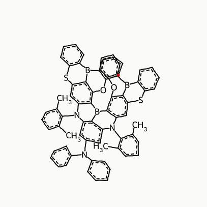 Cc1cccc(C)c1N1c2cc(N(c3ccccc3)c3ccccc3)cc3c2B(c2c1cc1c4c2Oc2ccccc2B4c2ccccc2S1)c1c(cc2c4c1Oc1ccccc1B4c1ccccc1S2)N3c1c(C)cccc1C